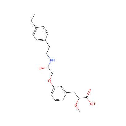 CCc1ccc(CCNC(=O)COc2cccc(CC(OC)C(=O)O)c2)cc1